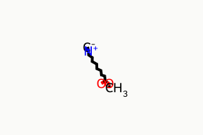 [C-]#[N+]CCCCCCCCC(=O)OC